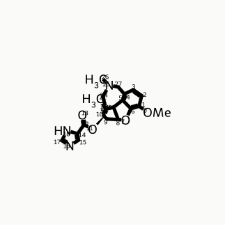 COc1ccc2c3c1OC1C[C@@H](OC(=O)c4cnc[nH]4)C=C(C)[C@@]31CCN(C)C2